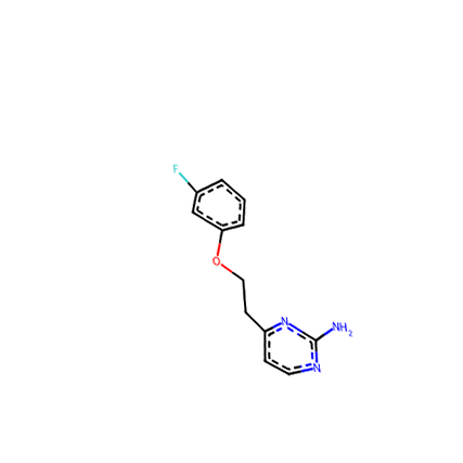 Nc1nccc(CCOc2cccc(F)c2)n1